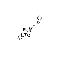 CC/C(=N\OCCCCOC1C=CC=CC1)C(=O)N/C=C1\CCOC1